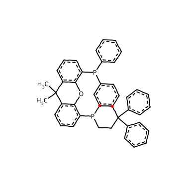 CC1(C)c2cccc(P3CCC(c4ccccc4)(c4ccccc4)CC3)c2Oc2c(P(c3ccccc3)c3ccccc3)cccc21